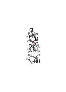 Cc1cc(C2CC3Cc4[nH]ncc4C(C2)N3S(=O)(=O)c2ccc(Cl)cc2)on1